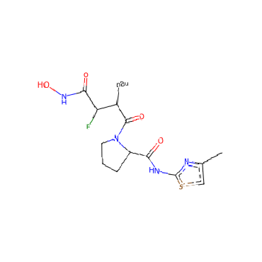 CCCCC(C(=O)N1CCCC1C(=O)Nc1nc(C)cs1)C(F)C(=O)NO